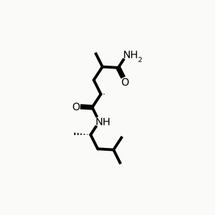 CC(C)C[C@H](C)NC(=O)[CH]CC(C)C(N)=O